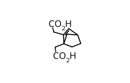 O=C(O)CC1=CC2CCC1(CC(=O)O)C2